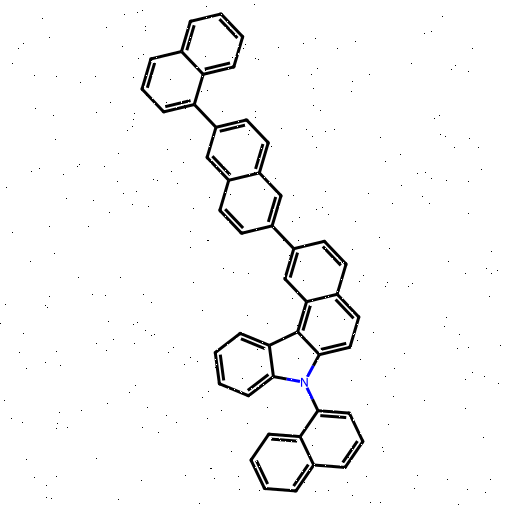 c1ccc2c(-c3ccc4cc(-c5ccc6ccc7c(c6c5)c5ccccc5n7-c5cccc6ccccc56)ccc4c3)cccc2c1